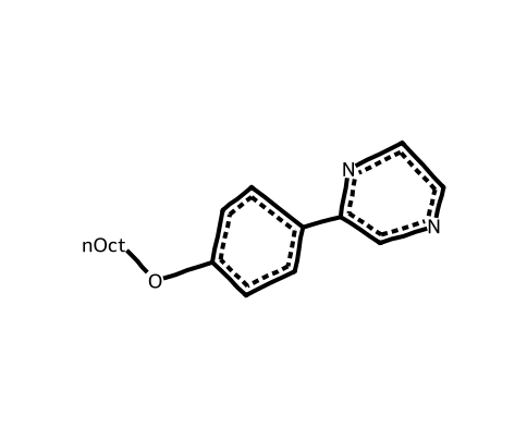 CCCCCCCCOc1ccc(-c2cnccn2)cc1